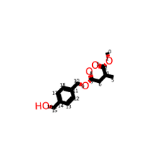 COC(=O)C(C)CC(=O)OCc1ccc(CO)cc1